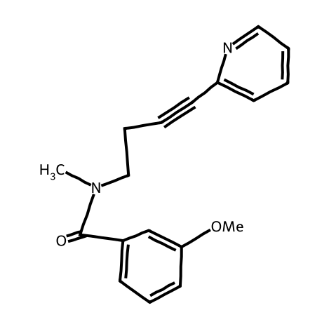 COc1cccc(C(=O)N(C)CCC#Cc2ccccn2)c1